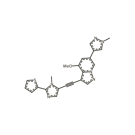 COc1cc(-c2cnn(C)c2)cn2ncc(C#Cc3cnc(-c4cccs4)n3C)c12